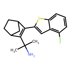 CC(C)(N)C1=C(c2cc3c(F)cccc3s2)C2CCC1C2